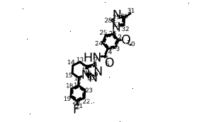 COc1cc(C(=O)Nc2nnn3c2CCCC3c2ccc(F)cc2)ccc1-n1cnc(C)c1